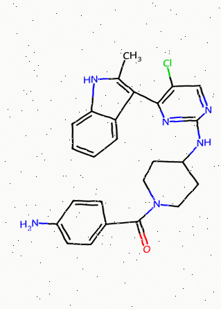 Cc1[nH]c2ccccc2c1-c1nc(NC2CCN(C(=O)c3ccc(N)cc3)CC2)ncc1Cl